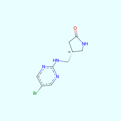 O=C1C[C@@H](CNc2ncc(Br)cn2)CN1